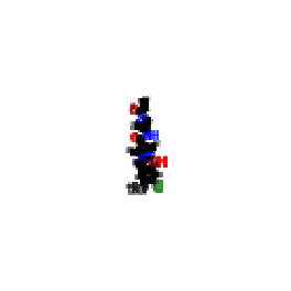 C=CC(=O)N1CC(NC(=O)c2c(C)nn(Cc3cc(C(C)(C)C)c(Cl)cc3O)c2C)C1